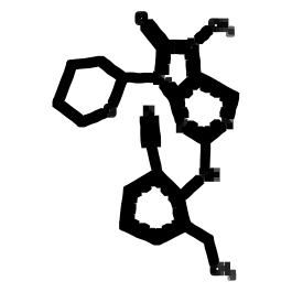 CCc1cccc(C#N)c1Nc1ncc2c(n1)n(C1CCCCO1)c(=O)n2C